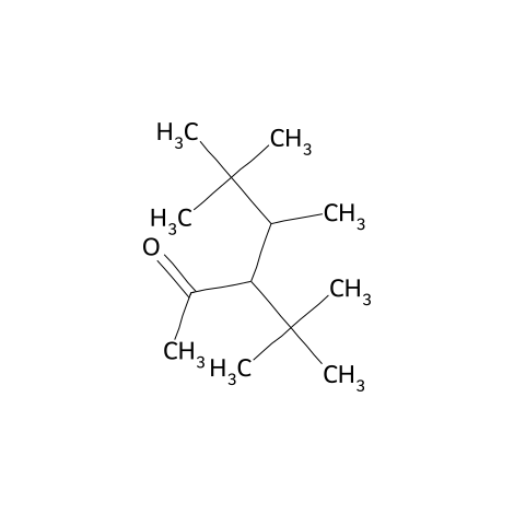 CC(=O)C(C(C)C(C)(C)C)C(C)(C)C